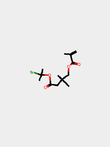 C=C(C)C(=O)OCC(C)(C)CC(=O)OC(C)(C)Br